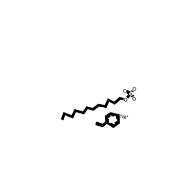 C=Cc1ccccc1.CCCCCCCCCCCCOS(=O)(=O)[O-].[Na+]